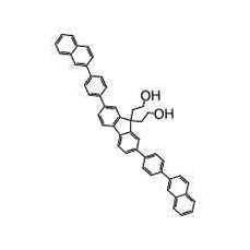 OCCC1(CCO)c2cc(-c3ccc(-c4ccc5ccccc5c4)cc3)ccc2-c2ccc(-c3ccc(-c4ccc5ccccc5c4)cc3)cc21